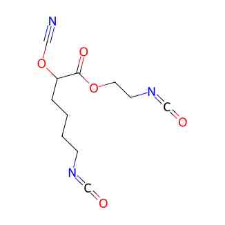 N#COC(CCCCN=C=O)C(=O)OCCN=C=O